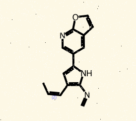 C=Nc1[nH]c(-c2cnc3occc3c2)cc1/C=C\C